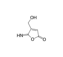 N=C1OC(=O)C=C1CO